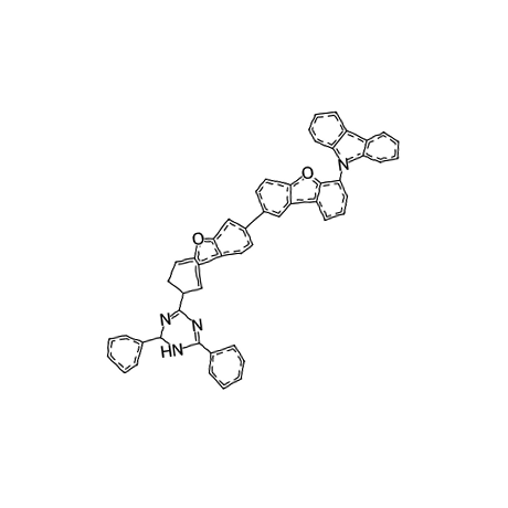 C1=c2oc3cc(-c4ccc5oc6c(-n7c8ccccc8c8ccccc87)cccc6c5c4)ccc3c2=CC(C2=NC(c3ccccc3)NC(c3ccccc3)=N2)C1